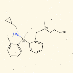 C=CCC[C@@H](C)Cc1ccccc1[C@](C)(NCC1CC1)c1ccccc1C